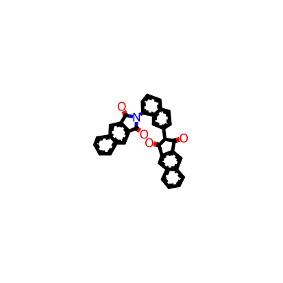 O=C1c2cc3ccccc3cc2C(=O)C1c1ccc2cccc(N3C(=O)c4cc5ccccc5cc4C3=O)c2c1